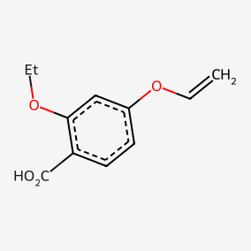 C=COc1ccc(C(=O)O)c(OCC)c1